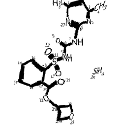 Cc1cc(C)nc(NC(=O)NS(=O)(=O)c2ccccc2C(=O)OC2COC2)n1.[SiH4]